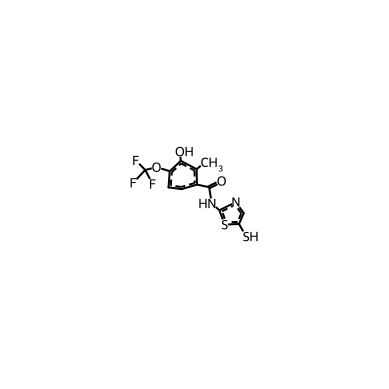 Cc1c(C(=O)Nc2ncc(S)s2)ccc(OC(F)(F)F)c1O